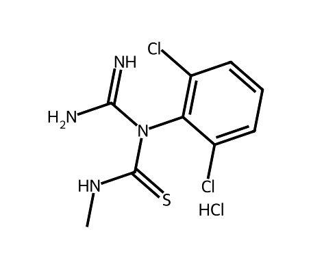 CNC(=S)N(C(=N)N)c1c(Cl)cccc1Cl.Cl